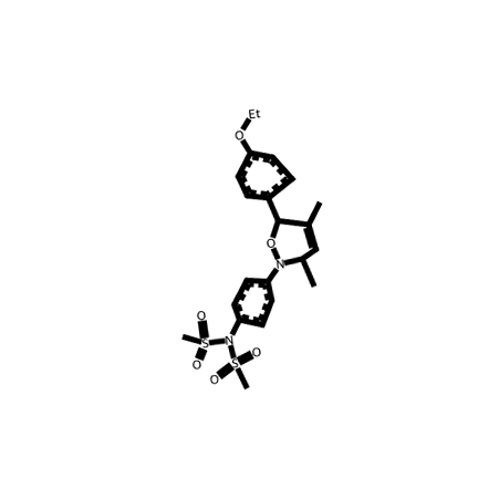 CCOc1ccc(C2ON(c3ccc(N(S(C)(=O)=O)S(C)(=O)=O)cc3)C(C)C=C2C)cc1